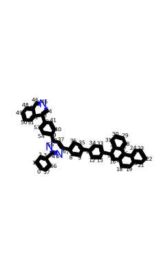 c1ccc(-c2nc(-c3ccc(-c4ccc(-c5cc6ccc7ccccc7c6c6ccccc56)cc4)cc3)cc(-c3ccc(-c4cncc5ccccc45)cc3)n2)cc1